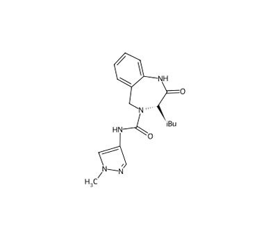 CC[C@H](C)[C@H]1C(=O)Nc2ccccc2CN1C(=O)Nc1cnn(C)c1